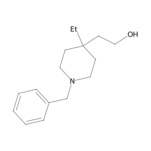 [CH2]CC1(CCO)CCN(Cc2ccccc2)CC1